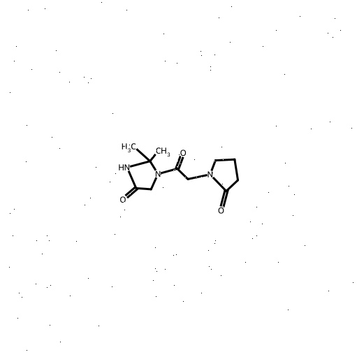 CC1(C)NC(=O)CN1C(=O)CN1CCCC1=O